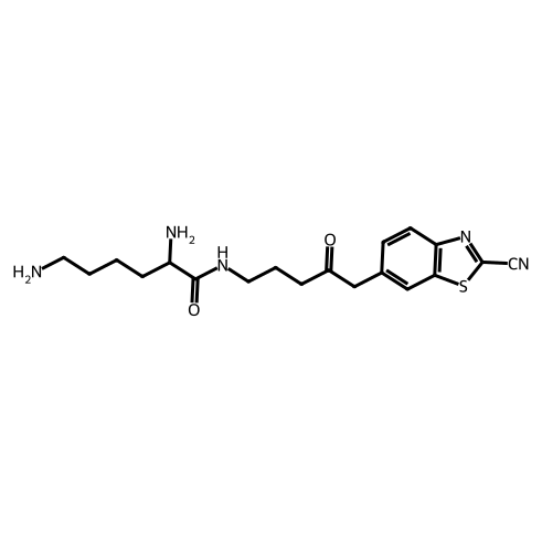 N#Cc1nc2ccc(CC(=O)CCCNC(=O)C(N)CCCCN)cc2s1